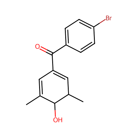 CC1=CC(C(=O)c2ccc(Br)cc2)=CC(C)C1O